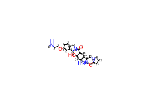 CNCCOc1ccc2c(c1)CN(C(=O)c1cc3c(CN4CCCC4=O)n[nH]c3cc1O)C2